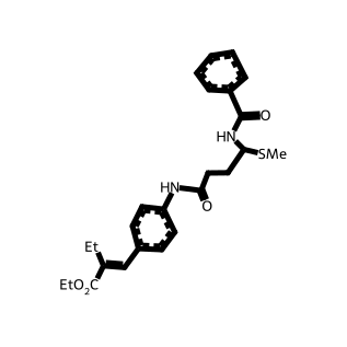 CCOC(=O)C(=Cc1ccc(NC(=O)CCC(NC(=O)c2ccccc2)SC)cc1)CC